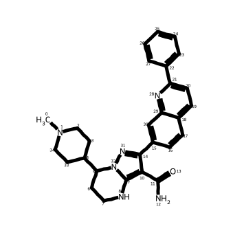 CN1CCC(C2CCNc3c(C(N)=O)c(-c4ccc5ccc(-c6ccccc6)nc5c4)nn32)CC1